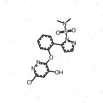 CN(C)S(=O)(=O)n1nccc1-c1ccccc1Oc1nnc(Cl)cc1O